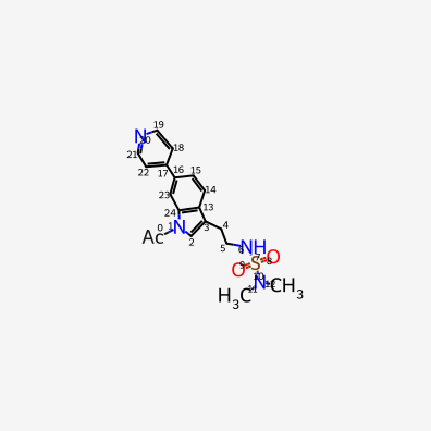 CC(=O)n1cc(CCNS(=O)(=O)N(C)C)c2ccc(-c3ccncc3)cc21